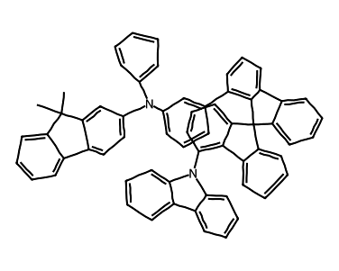 CC1(C)c2ccccc2-c2ccc(N(c3ccccc3)c3cccc(-c4cccc5c4C4(c6ccccc6-5)c5ccccc5-c5c(-n6c7ccccc7c7ccccc76)cccc54)c3)cc21